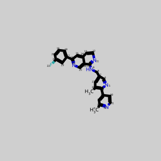 Cc1cc(-c2ncc(CNc3nccc4cc(-c5cccc(F)c5)ncc34)cc2C)ccn1